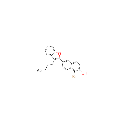 CC(=O)CCCc1c(-c2ccc3c(Br)c(O)ccc3c2)oc2ccccc12